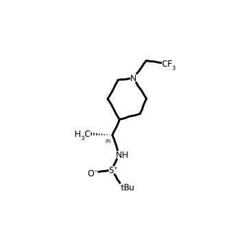 C[C@@H](N[S+]([O-])C(C)(C)C)C1CCN(CC(F)(F)F)CC1